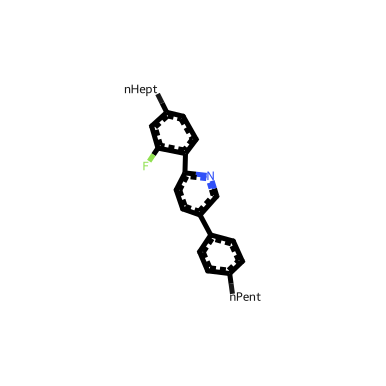 CCCCCCCc1ccc(-c2ccc(-c3ccc(CCCCC)cc3)cn2)c(F)c1